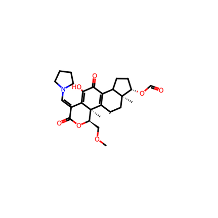 COC[C@H]1OC(=O)/C(=C/N2CCCC2)C2=C(O)C(=O)C3=C([C]C[C@@]4(C)C3CC[C@@H]4OC=O)[C@]21C